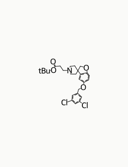 CC(C)(C)OC(=O)CCN1CCC2(CC1)COc1ccc(OCc3cc(Cl)cc(Cl)c3)cc12